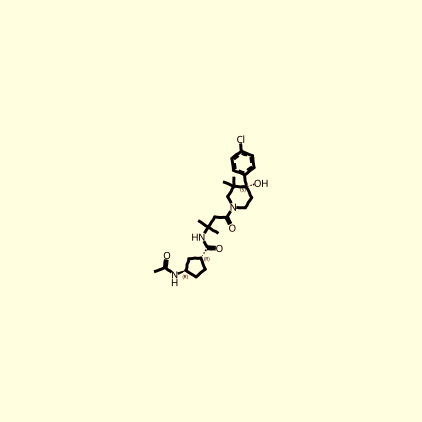 CC(=O)N[C@@H]1CC[C@@H](C(=O)NC(C)(C)CC(=O)N2CC[C@](O)(c3ccc(Cl)cc3)C(C)(C)C2)C1